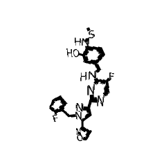 CSNc1ccc(CNc2nc(-c3cc(-c4ccon4)n(Cc4ccccc4F)n3)ncc2F)cc1O